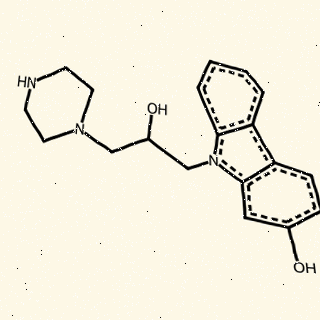 Oc1ccc2c3ccccc3n(CC(O)CN3CCNCC3)c2c1